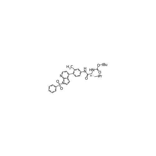 Cc1cc(NC(=O)[C@@H](CC(C)C)NC(=O)OC(C)(C)C)ccc1-c1ccnc2c1ccn2S(=O)(=O)c1ccccc1